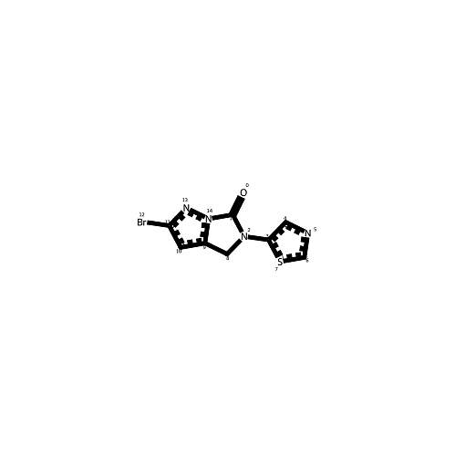 O=C1N(c2cncs2)Cc2cc(Br)nn21